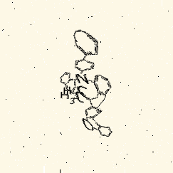 CC1(C)c2cc3oc4ccccc4c3cc2-c2cccc(N(c3ccc(-c4ccccc4)cc3)c3cccc4ccccc34)c21